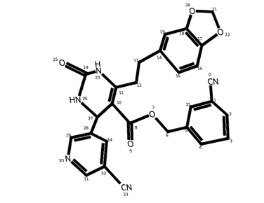 N#Cc1cccc(COC(=O)C2=C(CCc3ccc4c(c3)OCO4)NC(=O)NC2c2cncc(C#N)c2)c1